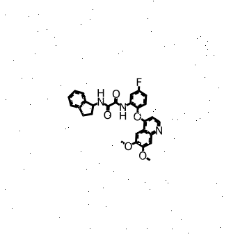 COc1cc2nccc(Oc3ccc(F)cc3NC(=O)C(=O)NC3CCc4ccccc43)c2cc1OC